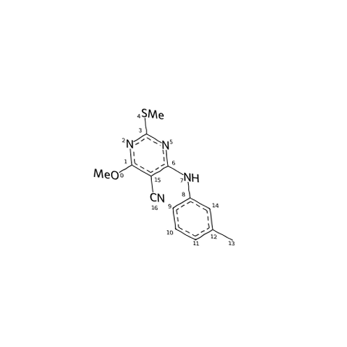 COc1nc(SC)nc(Nc2cccc(C)c2)c1C#N